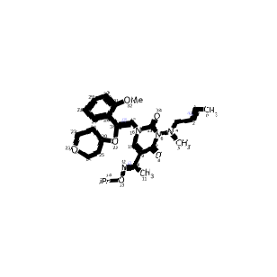 C/C=C/CN(C)n1c(=O)c(/C(C)=N/OC(C)C)cn(/C=C(\OC2CCOCC2)c2ccccc2OC)c1=O